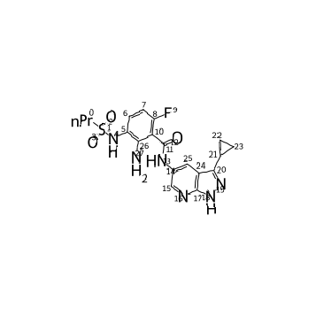 CCCS(=O)(=O)Nc1ccc(F)c(C(=O)Nc2cnc3[nH]nc(C4CC4)c3c2)c1N